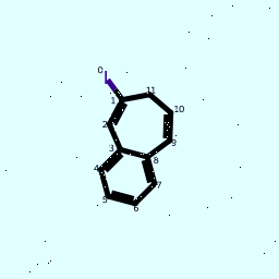 IC1=Cc2ccccc2C=CC1